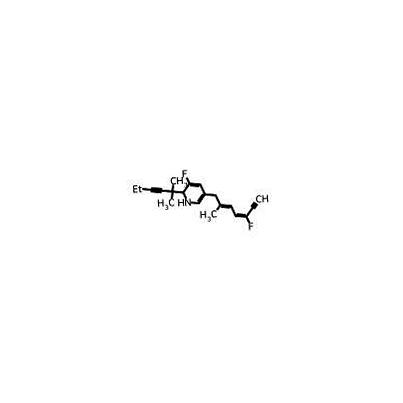 C#C/C(F)=C\C=C(/C)CC1=CNC(C(C)(C)C#CCC)C(F)=C1